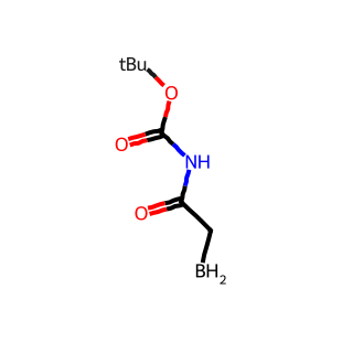 BCC(=O)NC(=O)OC(C)(C)C